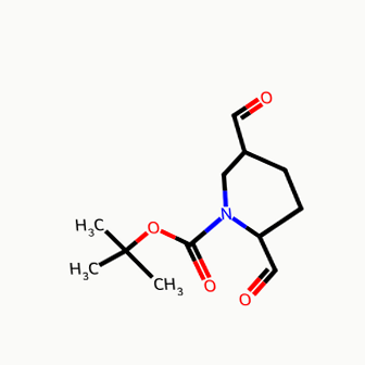 CC(C)(C)OC(=O)N1CC(C=O)CCC1C=O